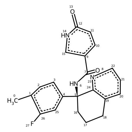 Cc1ccc([C@@]2(NC(=O)c3ccc(=O)[nH]c3)CCCc3cccnc32)cc1F